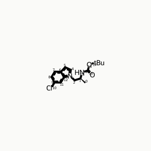 C[C@@H](Cn1ccc2ccc(Cl)cc21)NC(=O)OC(C)(C)C